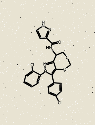 O=C(NC1CCCOc2c1nn(-c1ccccc1Cl)c2-c1ccc(Cl)cc1)c1cc[nH]n1